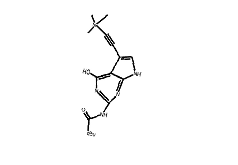 CC(C)(C)C(=O)Nc1nc(O)c2c(C#C[Si](C)(C)C)c[nH]c2n1